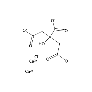 O=C([O-])CC(O)(CC(=O)[O-])C(=O)[O-].[Ca+2].[Ca+2].[Cl-]